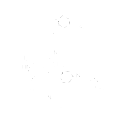 CC(C)(C)CN1CCC(O[C@H]2C[C@H](NC(C)(CCC(C)(C)Cc3ccc(N4CC[C@H](NC(C)(C)C)C4)cc3)CCC(C)(C)N[C@H]3C[C@H](Oc4cc(C(C)(C)C)ccn4)C3)C2)CC1